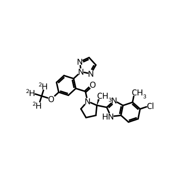 [2H]C([2H])([2H])Oc1ccc(-n2nccn2)c(C(=O)N2CCC[C@@]2(C)c2nc3c(C)c(Cl)ccc3[nH]2)c1